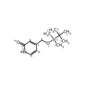 CC(C)(C)[Si](C)(C)OCc1cc[nH]c(=O)c1